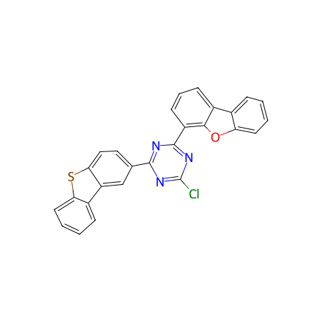 Clc1nc(-c2ccc3sc4ccccc4c3c2)nc(-c2cccc3c2oc2ccccc23)n1